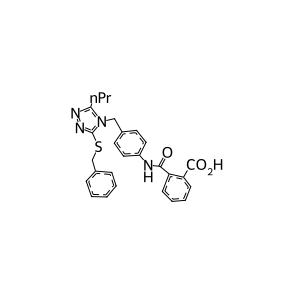 CCCc1nnc(SCc2ccccc2)n1Cc1ccc(NC(=O)c2ccccc2C(=O)O)cc1